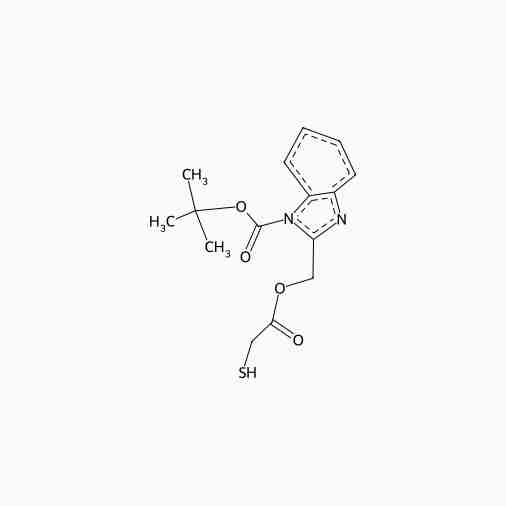 CC(C)(C)OC(=O)n1c(COC(=O)CS)nc2ccccc21